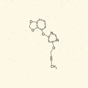 CC#CCOc1cc(Oc2cccc3c2OCO3)ncn1